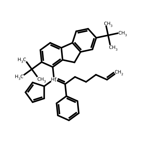 C=CCCC[C](c1ccccc1)=[Hf]([c]1c(C(C)(C)C)ccc2c1Cc1cc(C(C)(C)C)ccc1-2)[CH]1C=CC=C1